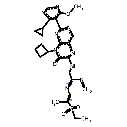 C=N/C(CNc1nc2cnc(-c3c(OC)ncnc3C3CC3)nc2n(C2CCC2)c1=O)=N\C=C(/C)S(=O)(=O)CC